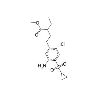 CCC(CCc1ccc(S(=O)(=O)C2CC2)c(N)c1)C(=O)OC.Cl